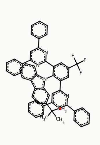 CC(C)(C)c1ccc2c3ccccc3n(-c3c(-c4cc(-c5ccccc5)nc(-c5ccccc5)n4)cc(C(F)(F)F)cc3-c3nc(-c4ccccc4)cc(-c4ccccc4)n3)c2c1